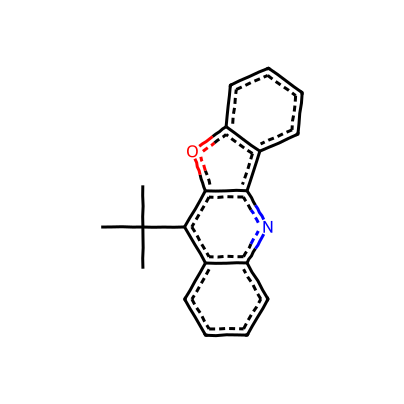 CC(C)(C)c1c2ccccc2nc2c1oc1ccccc12